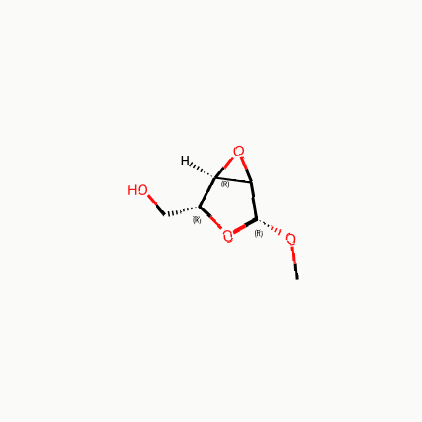 CO[C@@H]1O[C@H](CO)[C@H]2OC12